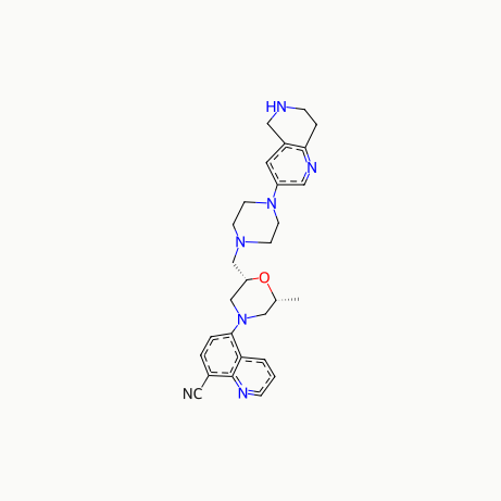 C[C@@H]1CN(c2ccc(C#N)c3ncccc23)C[C@H](CN2CCN(c3cnc4c(c3)CNCC4)CC2)O1